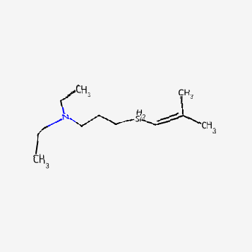 CCN(CC)CCC[SiH2]C=C(C)C